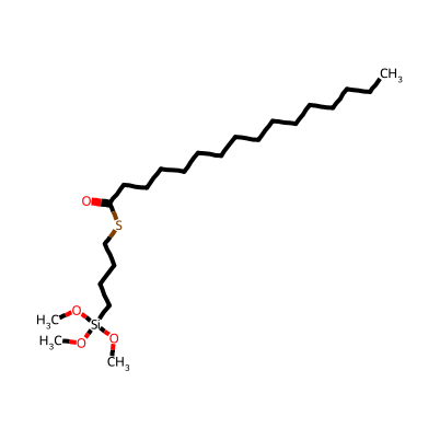 CCCCCCCCCCCCCCCC(=O)SCCCC[Si](OC)(OC)OC